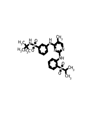 Cc1cnc(Nc2ccccc2S(=O)(=O)C(C)C)nc1Nc1cccc(S(=O)(=O)NC(C)(C)C)c1